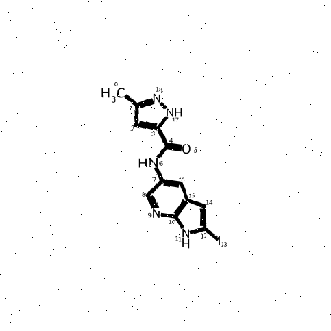 Cc1cc(C(=O)Nc2cnc3[nH]c(I)cc3c2)[nH]n1